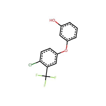 Oc1cccc(Oc2ccc(Cl)c(C(F)(F)F)c2)c1